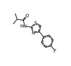 CC(C)C(=O)Nc1nc(-c2ccc(F)cc2)cs1